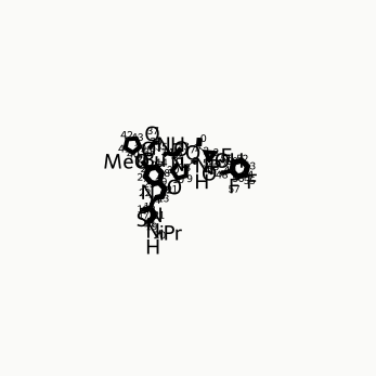 C=C[C@@H]1C[C@]1(NC(=O)[C@@H]1C[C@@H](Oc2cc(-c3csc(NC(C)C)n3)nc3cc(OC)ccc23)CN1C(=O)C(NC(=O)OC1CCCC1)C(C)(C)C)P(=O)(O)Cc1c(F)ccc(F)c1F